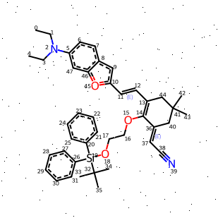 CCN(CC)c1ccc2cc(/C=C/C3=C(OCCO[Si](c4ccccc4)(c4ccccc4)C(C)(C)C)C(=C/C#N)/CC(C)(C)C3)oc2c1